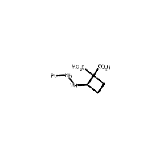 O=C(O)C1(C(=O)O)CCC1N[NH][Pt]